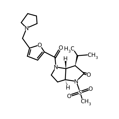 CC(C)[C@H]1C(=O)N(S(C)(=O)=O)[C@H]2CCN(C(=O)c3ccc(CN4CCCC4)o3)[C@H]12